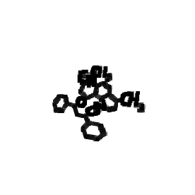 Cc1ccnc2c3c(ccc12)N(C)CC=C3.O=C(CC(=O)c1ccccc1)c1ccccc1.[Eu]